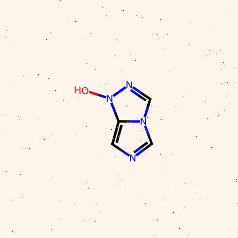 On1ncn2cncc12